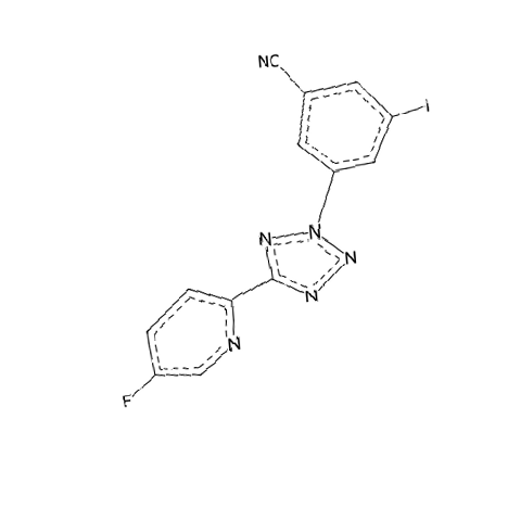 N#Cc1cc(I)cc(-n2nnc(-c3ccc(F)cn3)n2)c1